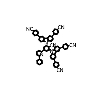 N#Cc1ccc(-c2ccc3c(c2)c2cc(-c4ccc(C#N)cc4)ccc2n3-c2cc(-c3cccc(-c4ccccc4)n3)cc(-n3c4ccc(-c5ccc(C#N)cc5)cc4c4cc(-c5ccc(C#N)cc5)ccc43)c2C#N)cc1